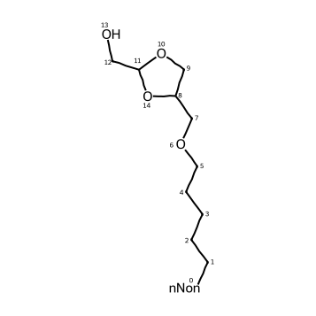 CCCCCCCCCCCCCCOCC1COC(CO)O1